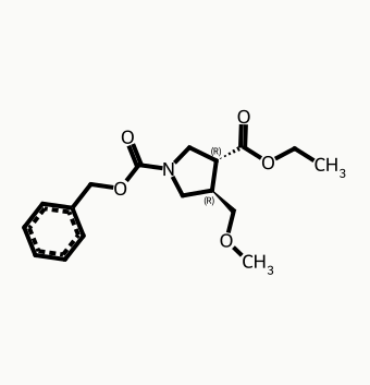 CCOC(=O)[C@H]1CN(C(=O)OCc2ccccc2)C[C@@H]1COC